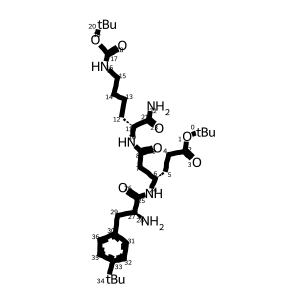 CC(C)(C)OC(=O)CC[C@@H](CC(=O)N[C@H](CCCCNC(=O)OC(C)(C)C)C(N)=O)NC(=O)[C@@H](N)Cc1ccc(C(C)(C)C)cc1